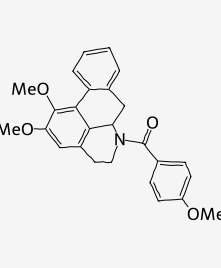 COc1ccc(C(=O)N2CCc3cc(OC)c(OC)c4c3C2Cc2ccccc2-4)cc1